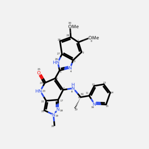 COc1cc2nc(-c3c(N[C@@H](C)c4ccccn4)c4nn(C)cc4[nH]c3=O)[nH]c2cc1OC